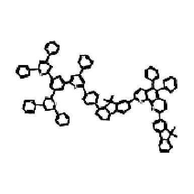 CC1(C)c2ccccc2-c2ccc(-c3ccc4c(-c5ccccc5)c(-c5ccccc5)c5ccc(-c6ccc7c(c6)C(C)(C)c6c(-c8ccc(-c9cc(-c%10ccccc%10)cc(-c%10cc(-c%11cc(-c%12ccccc%12)cc(-c%12ccccc%12)n%11)cc(-c%11cc(-c%12ccccc%12)cc(-c%12ccccc%12)n%11)c%10)n9)cc8)cccc6-7)nc5c4n3)cc21